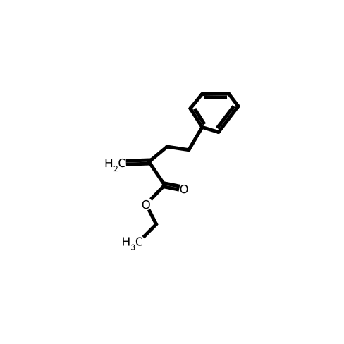 C=C(CCc1ccccc1)C(=O)OCC